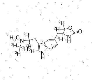 [2H]c1[nH]c2ccc(C[C@]3([2H])NC(=O)OC3([2H])[2H])cc2c1CC([2H])([2H])N(C)C([2H])([2H])[2H]